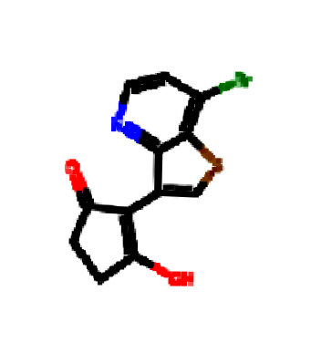 O=C1CCC(O)=C1c1csc2c(Br)ccnc12